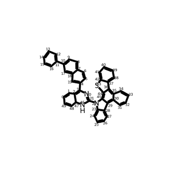 C1=CC2=C(c3ccc4ccc(-c5ccccc5)cc4c3)N=C(n3c4ccccc4c4c5ccccc5c5c6ccccc6sc5c43)NC2C=C1